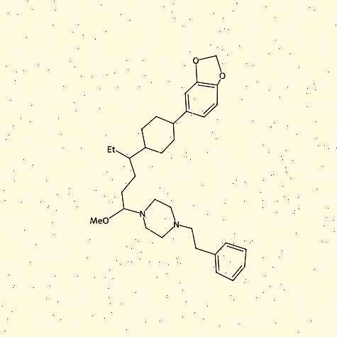 CCC(CCC(OC)N1CCN(CCc2ccccc2)CC1)C1CCC(c2ccc3c(c2)OCO3)CC1